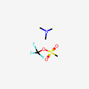 CN(C)C.CS(=O)(=O)OC(F)(F)F